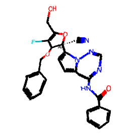 N#C[C@@]1(c2ccc3c(NC(=O)c4ccccc4)ncnn23)OC(CO)=C(F)C1OCc1ccccc1